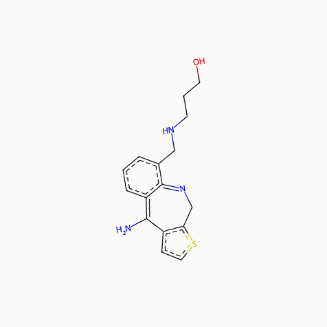 NC1=c2cccc(CNCCCO)c2=NCc2sccc21